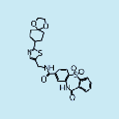 O=C(NCc1cnc(C2CCC3(CC2)OCCO3)s1)c1ccc2c(c1)NC(=O)c1ccccc1S2(=O)=O